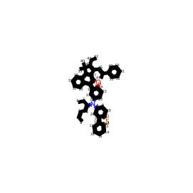 C/C=C\C=C(/CC)N(c1ccc2sc3ccccc3c2c1)c1ccc2oc3c4c(c5ccccc5c3c2c1)C(C)(C)C(CC)=C4/C=C(\C)c1ccccc1